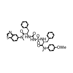 COc1ccc(N(C)C(=O)[C@H](Cc2ccccc2)NS(=O)(=O)NC(=O)NC(Cc2ccccc2)C(=O)N(C)c2ccc3scnc3c2)cc1